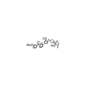 COc1cc(Nc2nccc(-c3ccc(OC4CCN(C(=O)[C@@H](O)C(F)F)CC4)c(C#N)c3)n2)ccn1